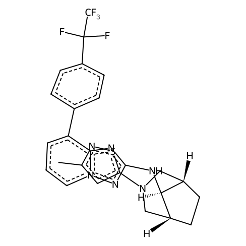 Cc1cc(N2C[C@H]3CC[C@@H](C2)[C@@H]3Nc2nc3c(-c4ccc(C(F)(F)C(F)(F)F)cc4)cccn3n2)sn1